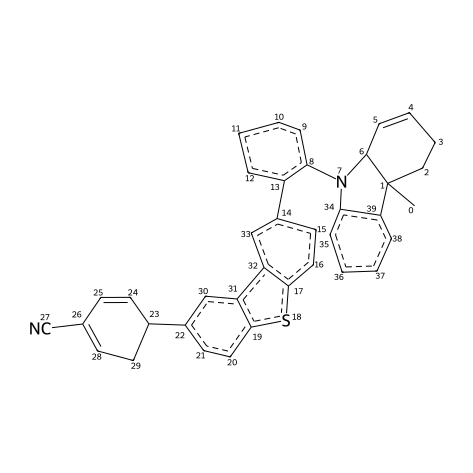 CC12CCC=CC1N(c1ccccc1-c1ccc3sc4ccc(C5C=CC(C#N)=CC5)cc4c3c1)c1ccccc12